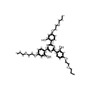 CCCOCCOc1ccc(-c2nc(-c3ccc(OCCOCCC)cc3O)nc(-c3ccc(OCCOCCC)cc3O)n2)c(O)c1